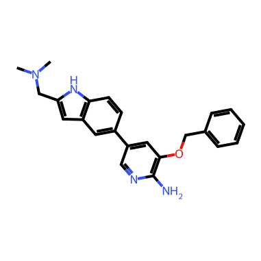 CN(C)Cc1cc2cc(-c3cnc(N)c(OCc4ccccc4)c3)ccc2[nH]1